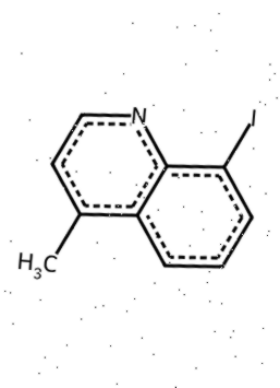 Cc1ccnc2c(I)cccc12